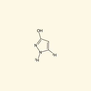 [2H]c1cc(O)nn1[2H]